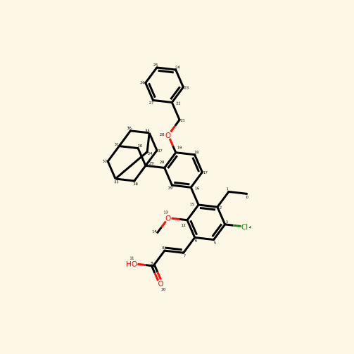 CCc1c(Cl)cc(C=CC(=O)O)c(OC)c1-c1ccc(OCc2ccccc2)c(C23CC4CC(CC(C4)C2)C3)c1